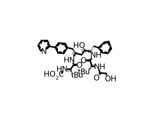 CC(C)(C)[C@H](NC(=O)O)C(=O)N[C@@H](Cc1ccc(-c2ccccn2)cc1)C[C@H](O)[C@H](Cc1ccccc1)NC(=O)[C@@H](NC(=O)CO)C(C)(C)C